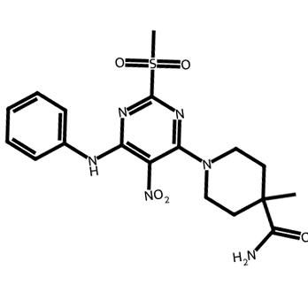 CC1(C(N)=O)CCN(c2nc(S(C)(=O)=O)nc(Nc3ccccc3)c2[N+](=O)[O-])CC1